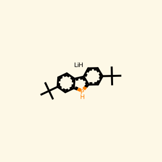 CC(C)(C)c1ccc2c(c1)[pH]c1cc(C(C)(C)C)ccc12.[LiH]